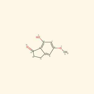 COc1cc(O)c2c(c1)CCC2=O